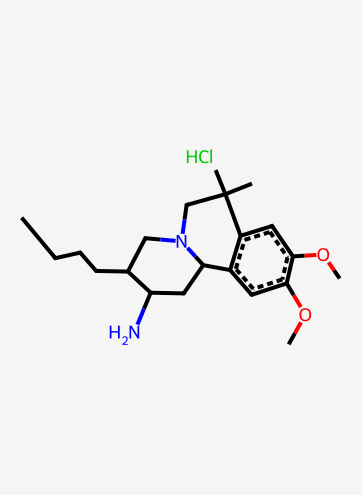 CCCCC1CN2CC(C)(C)c3cc(OC)c(OC)cc3C2CC1N.Cl